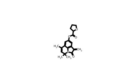 C=C1C(=O)N2c3c1cc(OC(=O)C1CCCO1)cc3C(C)=CC2(C)C